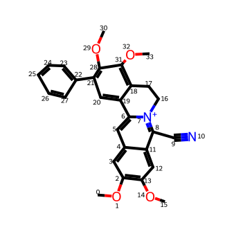 COc1cc2cc3[n+](c(C#N)c2cc1OC)CCc1c-3cc(-c2ccccc2)c(OC)c1OC